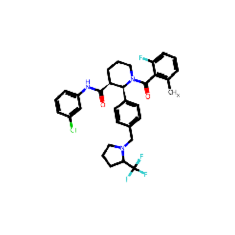 Cc1cccc(F)c1C(=O)N1CCC[C@H](C(=O)Nc2cccc(Cl)c2)[C@@H]1c1ccc(CN2CCCC2C(F)(F)F)cc1